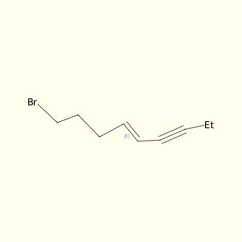 CCC#C/C=C/CCCBr